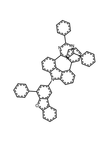 c1ccc(-c2nc(-c3ccccc3)nc(-c3cccc4c3c3c(-c5ccccc5)cccc3n4-c3cc(-c4ccccc4)c4oc5ccccc5c4c3)n2)cc1